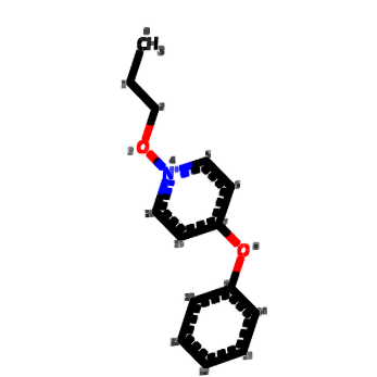 CCCO[n+]1ccc(Oc2ccccc2)cc1